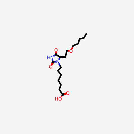 CCCCCOC/C=C1\C(=O)NC(=O)N1CCCCCCC(=O)O